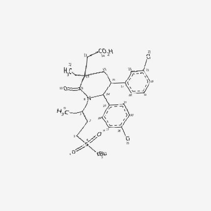 CC(CCS(=O)(=O)C(C)(C)C)N1C(=O)C(C)(CC(=O)O)CC(c2cccc(Cl)c2)C1c1ccc(Cl)cc1